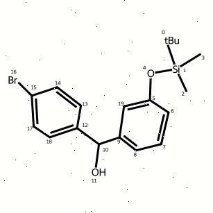 CC(C)(C)[Si](C)(C)Oc1cccc(C(O)c2ccc(Br)cc2)c1